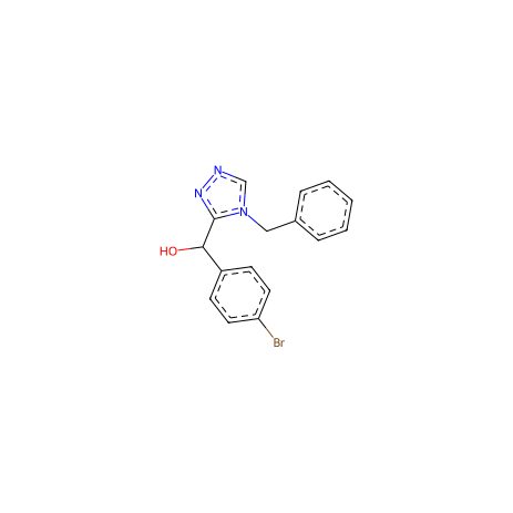 OC(c1ccc(Br)cc1)c1nncn1Cc1ccccc1